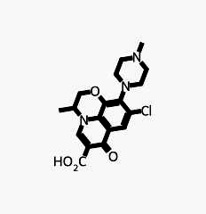 CC1COc2c(N3CCN(C)CC3)c(Cl)cc3c(=O)c(C(=O)O)cn1c23